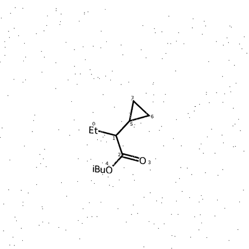 CCC(C(=O)OCC(C)C)C1CC1